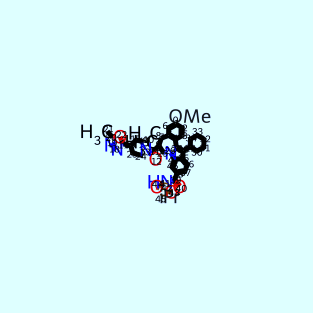 COc1ccc2c(c1)C(C)C(C)(C(=O)N1CCC(c3nnc(C)o3)CC1)Cn1c-2c(C2CCCCC2)c2ccc(C(=O)NS(=O)(=O)C(C)C)cc21